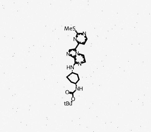 CSc1nccc(-c2cnc3c(N[C@H]4CC[C@H](NC(=O)OC(C)(C)C)CC4)nccn23)n1